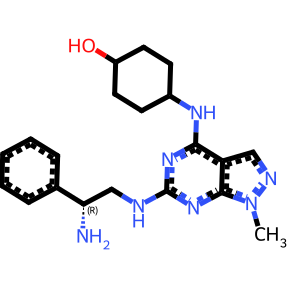 Cn1ncc2c(NC3CCC(O)CC3)nc(NC[C@H](N)c3ccccc3)nc21